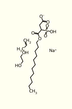 C=CC.CCCCCCCCCCCCOC(=O)C(CC(=O)[O-])S(=O)(=O)O.OCCO.[Na+]